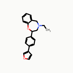 CCN1Cc2ccccc2OC(c2ccc(-c3ccoc3)cc2)C1